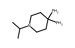 CC(C)N1CCC(P)(P)CC1